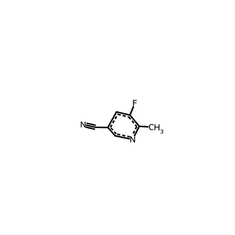 Cc1ncc(C#N)cc1F